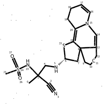 CC(C#N)(CN[C@H]1CC23CCCCC2=CN2C=CCCC2=C3S1)NS(C)(=O)=O